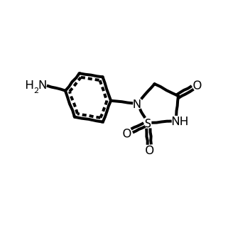 Nc1ccc(N2CC(=O)NS2(=O)=O)cc1